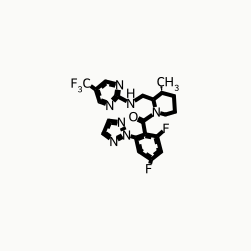 C[C@@H]1CCCN(C(=O)c2c(F)cc(F)cc2-n2nccn2)C1CNc1ncc(C(F)(F)F)cn1